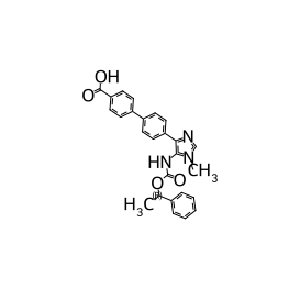 C[C@@H](OC(=O)Nc1c(-c2ccc(-c3ccc(C(=O)O)cc3)cc2)ncn1C)c1ccccc1